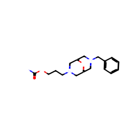 NC(=O)OCCCN1CC2CN(Cc3ccccc3)CC(C1)O2